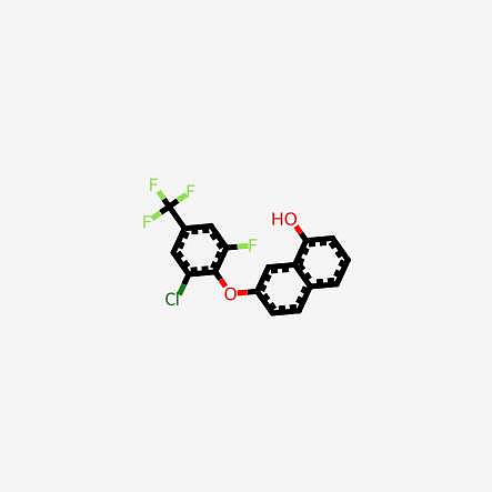 Oc1cccc2ccc(Oc3c(F)cc(C(F)(F)F)cc3Cl)cc12